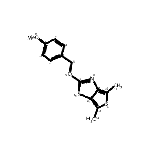 COc1ccc(COc2nc3c(C)sc(C)c3s2)cc1